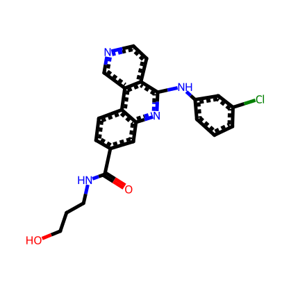 O=C(NCCCO)c1ccc2c(c1)nc(Nc1cccc(Cl)c1)c1ccncc12